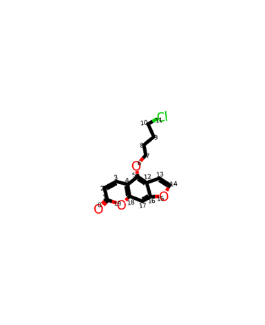 O=c1ccc2c(OCCCCCl)c3ccoc3cc2o1